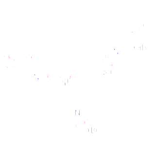 CC(C)(C)OC(=O)N1CCC(c2ccoc2)C(OCC2CCCCC2)C1.CC(C)(C)OC(=O)N1CCC(c2ccoc2)C(OCCC2CCCCC2)C1.CC(C)COC1CN(C(=O)OC(C)(C)C)CCC1c1ccoc1